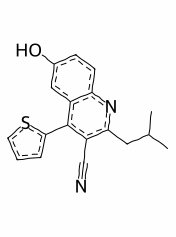 CC(C)Cc1nc2ccc(O)cc2c(-c2cccs2)c1C#N